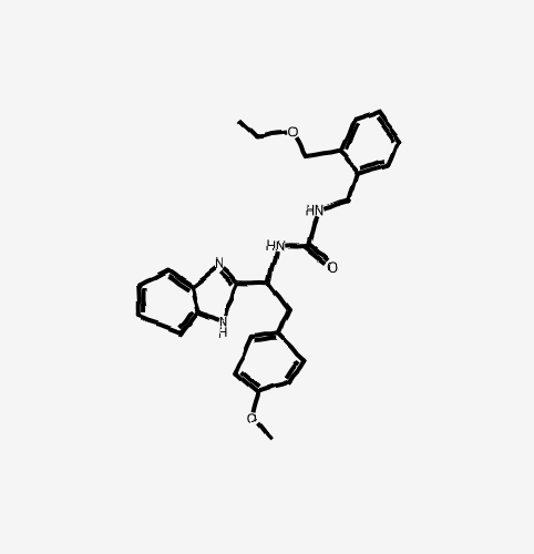 CCOCc1ccccc1CNC(=O)NC(Cc1ccc(OC)cc1)c1nc2ccccc2[nH]1